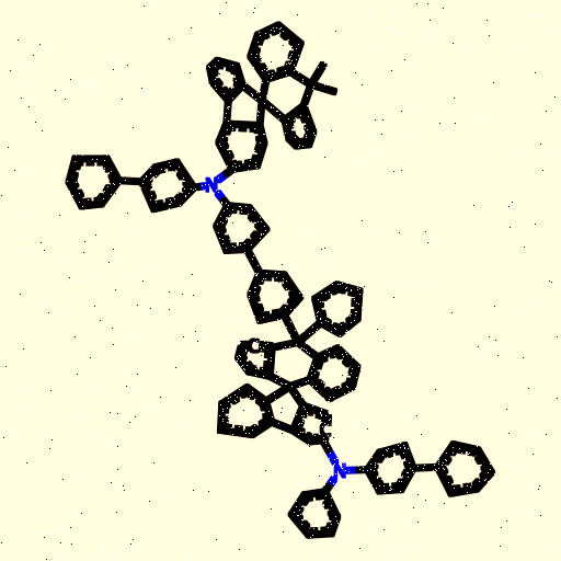 CC1(C)c2ccccc2C2(c3ccccc3-c3cc(N(c4ccc(-c5ccccc5)cc4)c4ccc(-c5ccc(C6(c7ccccc7)c7ccccc7C7(c8ccccc8-c8cc(N(c9ccccc9)c9ccc(-c%10ccccc%10)cc9)ccc87)c7ccccc76)cc5)cc4)ccc32)c2ccccc21